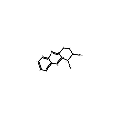 ClC1CCc2nc3ccccc3cc2C1Cl